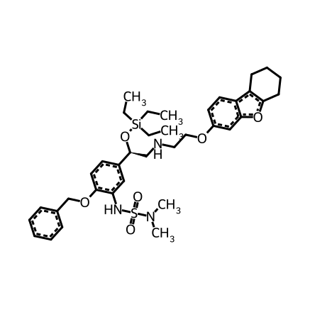 CC[Si](CC)(CC)O[C@@H](CNCCOc1ccc2c3c(oc2c1)CCCC3)c1ccc(OCc2ccccc2)c(NS(=O)(=O)N(C)C)c1